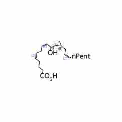 CCCCC/C=C\C[C@@H]1C[C@H]1[C@@H](O)/C=C\C/C=C\CCCC(=O)O